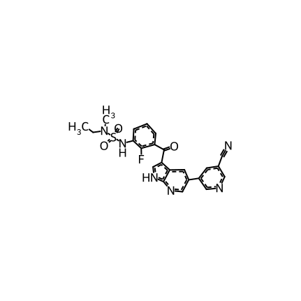 CCN(C)S(=O)(=O)Nc1cccc(C(=O)c2c[nH]c3ncc(-c4cncc(C#N)c4)cc23)c1F